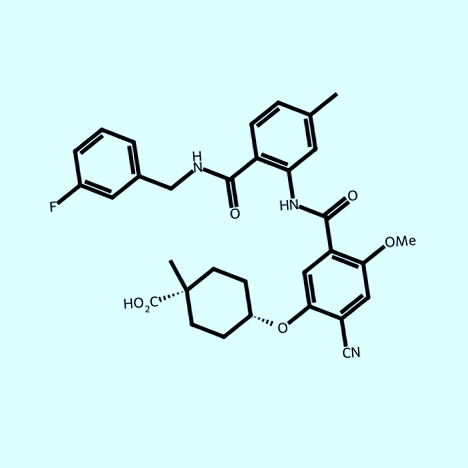 COc1cc(C#N)c(O[C@H]2CC[C@@](C)(C(=O)O)CC2)cc1C(=O)Nc1cc(C)ccc1C(=O)NCc1cccc(F)c1